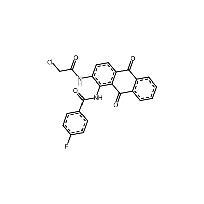 O=C(CCl)Nc1ccc2c(c1NC(=O)c1ccc(F)cc1)C(=O)c1ccccc1C2=O